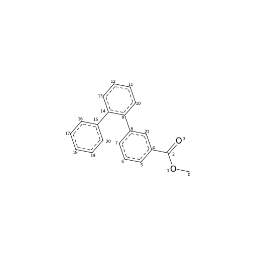 COC(=O)c1cccc(-c2ccccc2-c2ccccc2)c1